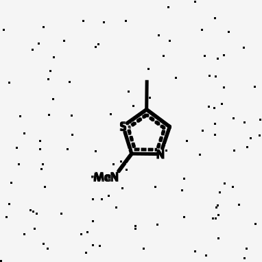 C[N]c1ncc(C)s1